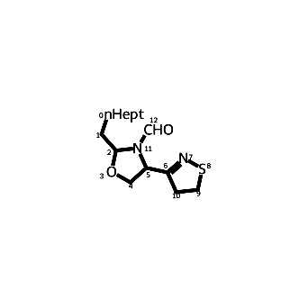 CCCCCCCCC1OCC(C2=NSCC2)N1C=O